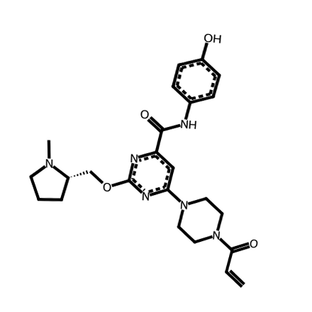 C=CC(=O)N1CCN(c2cc(C(=O)Nc3ccc(O)cc3)nc(OC[C@@H]3CCCN3C)n2)CC1